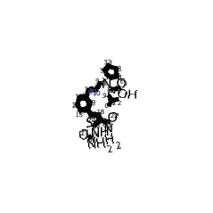 CC(C)C[C@@H](C(=O)O)N(C/C=C/c1cccc(-c2cc(C(N)=O)c(NC(N)=O)s2)c1)C1CCCC1